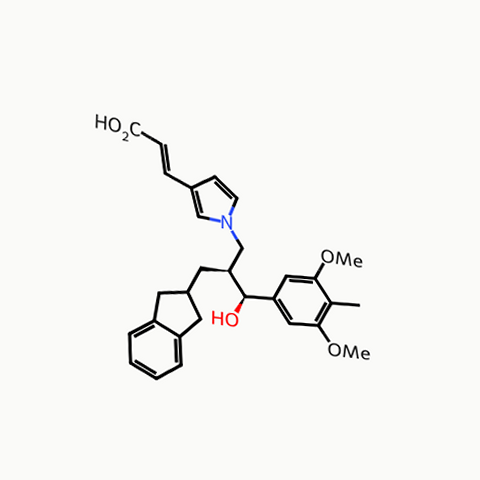 COc1cc([C@@H](O)[C@@H](CC2Cc3ccccc3C2)Cn2ccc(C=CC(=O)O)c2)cc(OC)c1C